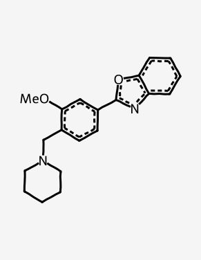 COc1cc(-c2nc3ccccc3o2)ccc1CN1CCCCC1